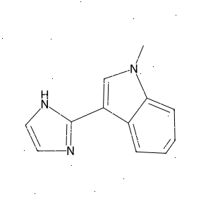 Cn1cc(-c2ncc[nH]2)c2ccccc21